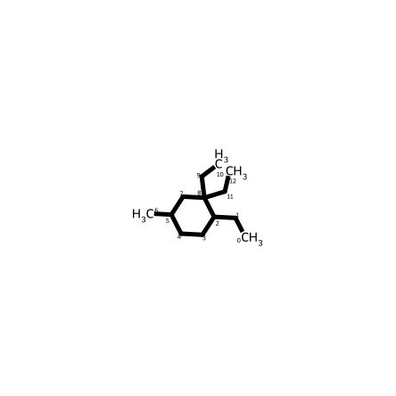 CCC1CCC(C)CC1(CC)CC